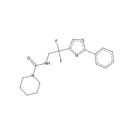 O=C(NCC(F)(F)c1csc(-c2ccccc2)n1)N1CCCCC1